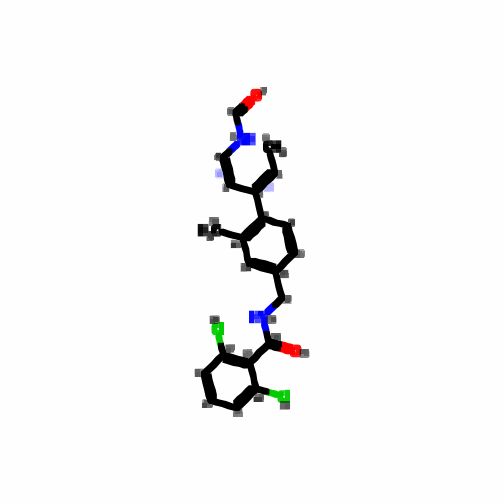 C/C=C(\C=C/NC=O)c1ccc(CNC(=O)c2c(Cl)cccc2Cl)cc1C